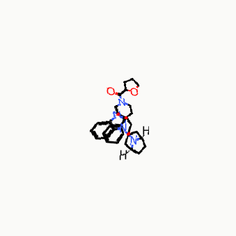 O=C(C1CCCO1)N1CCC(CCN2[C@@H]3CC[C@H]2CC(n2cnc4ccccc42)C3)(c2ccccc2)CC1